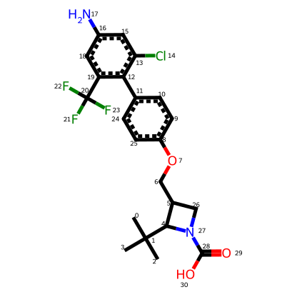 CC(C)(C)C1C(COc2ccc(-c3c(Cl)cc(N)cc3C(F)(F)F)cc2)CN1C(=O)O